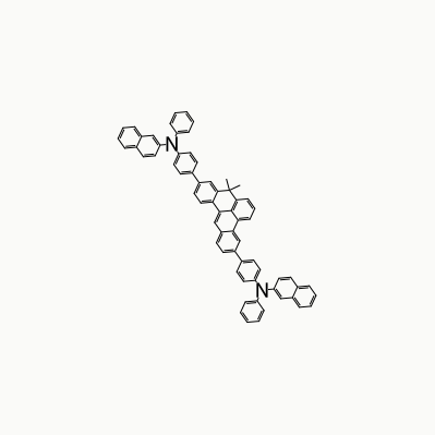 CC1(C)c2cc(-c3ccc(N(c4ccccc4)c4ccc5ccccc5c4)cc3)ccc2-c2cc3ccc(-c4ccc(N(c5ccccc5)c5ccc6ccccc6c5)cc4)cc3c3cccc1c23